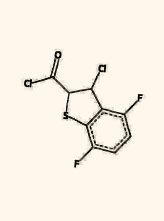 O=C(Cl)C1Sc2c(F)ccc(F)c2C1Cl